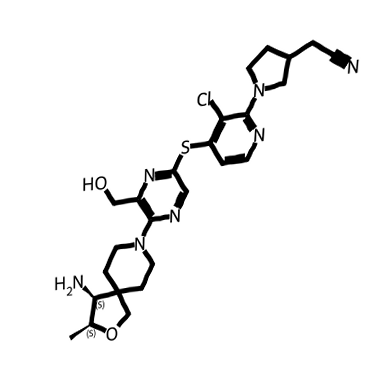 C[C@@H]1OCC2(CCN(c3ncc(Sc4ccnc(N5CCC(CC#N)C5)c4Cl)nc3CO)CC2)[C@@H]1N